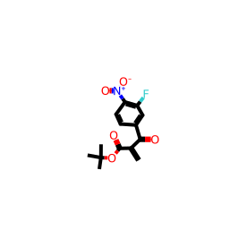 C=C(C(=O)OC(C)(C)C)C(=O)c1ccc([N+](=O)[O-])c(F)c1